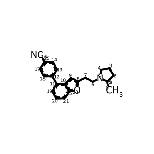 C[C@@H]1CCCN1CCc1cc2c(-c3ccc(C#N)cc3)cccc2o1